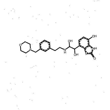 O=c1[nH]c2c(O)ccc(C(O)C(O)NCCc3cccc(CN4CCOCC4)c3)c2s1